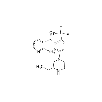 CCC1CN(c2ccc(C(F)(F)F)c(C(=O)c3cccnc3N)n2)CCN1